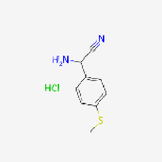 CSc1ccc(C(N)C#N)cc1.Cl